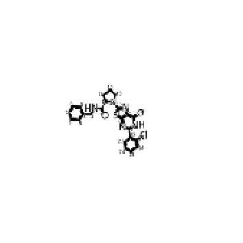 O=C(NCc1ccccc1)[C@H]1CCCN1c1nc2c(=O)[nH]c(-c3ccccc3Cl)nc2s1